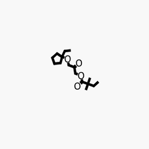 CCC1(OCC(=O)COC(=O)C(C)(C)CC)CCCC1